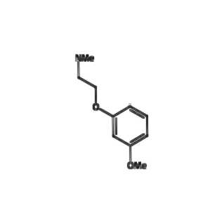 CNCCOc1[c]ccc(OC)c1